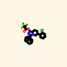 O=C(ON1N=C(C23CC4CC(CC(C4)C2)C3)N2CC(c3ccccc3Cl)CCC12)C(F)(F)F